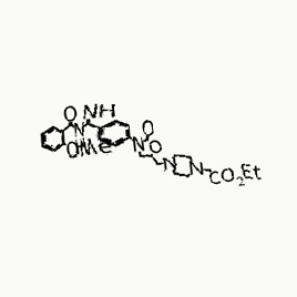 CCOC(=O)CN1CCN(CC2CN(c3ccc(C(=N)NC(=O)c4ccccc4OC)cc3)C(=O)O2)CC1